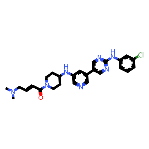 CN(C)C/C=C/C(=O)N1CCC(Nc2cncc(-c3cnc(Nc4cccc(Cl)c4)nc3)c2)CC1